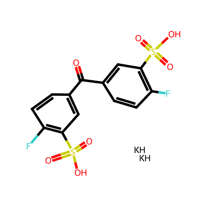 O=C(c1ccc(F)c(S(=O)(=O)O)c1)c1ccc(F)c(S(=O)(=O)O)c1.[KH].[KH]